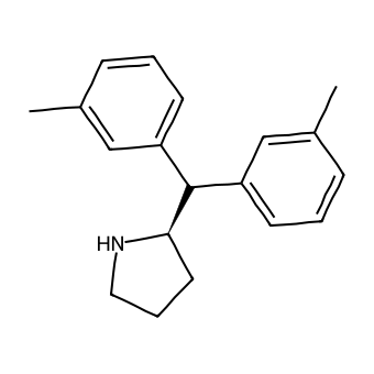 Cc1cccc(C(c2cccc(C)c2)[C@H]2CCCN2)c1